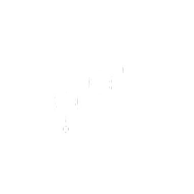 COc1cccc(-c2ccc(I)cc2)c1